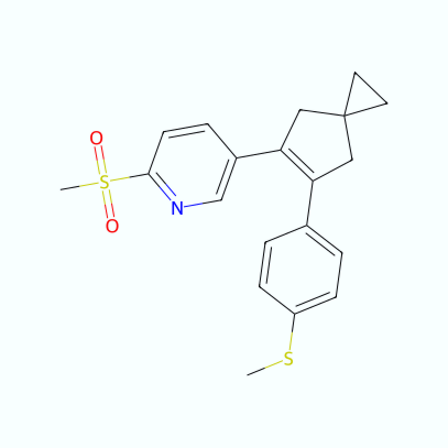 CSc1ccc(C2=C(c3ccc(S(C)(=O)=O)nc3)CC3(CC3)C2)cc1